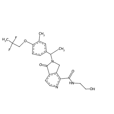 Cc1cc(C(C)N2Cc3c(ccnc3C(=O)NCCO)C2=O)ccc1OCC(C)(F)F